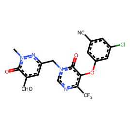 Cn1nc(Cn2cnc(C(F)(F)F)c(Oc3cc(Cl)cc(C#N)c3)c2=O)cc(C=O)c1=O